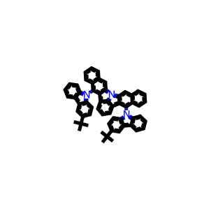 CC(C)(C)c1ccc2c(c1)c1ccccc1n2-c1c2ccccc2cc2c1c1cccc3c4c(-n5c6ccccc6c6cc(C(C)(C)C)ccc65)c5ccccc5cc4n2c13